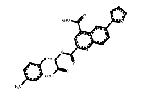 COC(=O)c1cc(C(=O)N[C@@H](Cc2ccc(C)cc2)C(=O)OC)nc2ccc(-c3cccs3)cc12